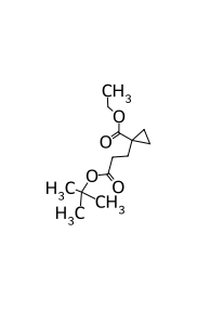 CCOC(=O)C1(CCC(=O)OC(C)(C)C)CC1